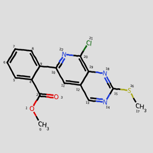 COC(=O)c1ccccc1-c1cc2cnc(SC)nc2c(Cl)n1